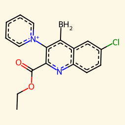 Bc1c(-[n+]2ccccc2)c(C(=O)OCC)nc2ccc(Cl)cc12